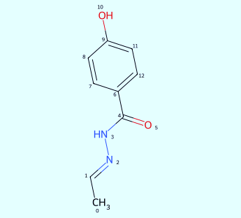 C/C=N/NC(=O)c1ccc(O)cc1